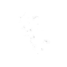 O=C(OC(=O)Oc1ccccc1)Oc1ccccc1.OCCCCCCO